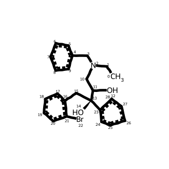 CCN(Cc1ccccc1)CC(O)[C@@](O)(Cc1ccccc1Br)c1ccccc1